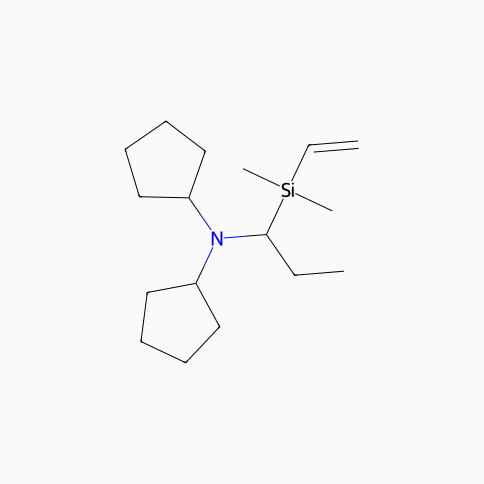 C=C[Si](C)(C)C(CC)N(C1CCCC1)C1CCCC1